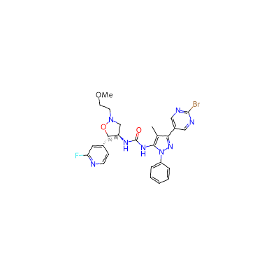 COCCN1C[C@@H](NC(=O)Nc2c(C)c(-c3cnc(Br)nc3)nn2-c2ccccc2)[C@H](c2ccnc(F)c2)O1